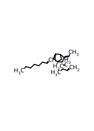 C/C=C1/CC2C=CC1C2.C=C.C=CCC.C=CCCCCCC